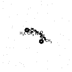 CCCc1nc(C(=O)NCCCN2CCN(c3cccc(C)c3C)CC2)cn1-c1ccccc1